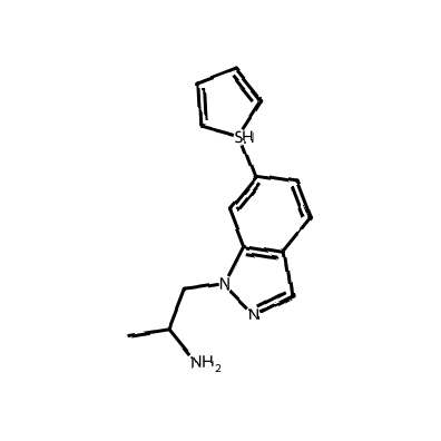 CC(N)Cn1ncc2ccc([SH]3C=CC=C3)cc21